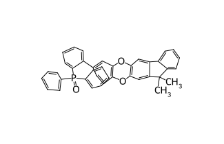 CC1(C)c2ccccc2-c2cc3c(cc21)Oc1ccc(-c2ccccc2P(=O)(c2ccccc2)c2ccccc2)cc1O3